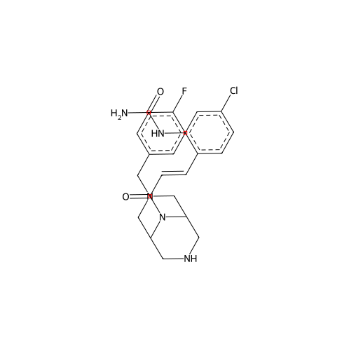 NC(=O)Nc1cc(Cl)ccc1/C=C/C(=O)N1C2CNCC1CN(Cc1ccc(F)cc1)C2